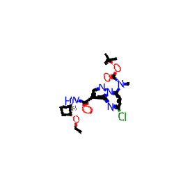 CCOC1CC[C@H]1NC(=O)c1cnn2c(N(C)C(=O)OC(C)(C)C)cc(Cl)nc12